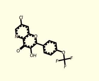 O=c1c(O)c(-c2ccc(OC(F)(F)F)cc2)oc2cc(Cl)cnc12